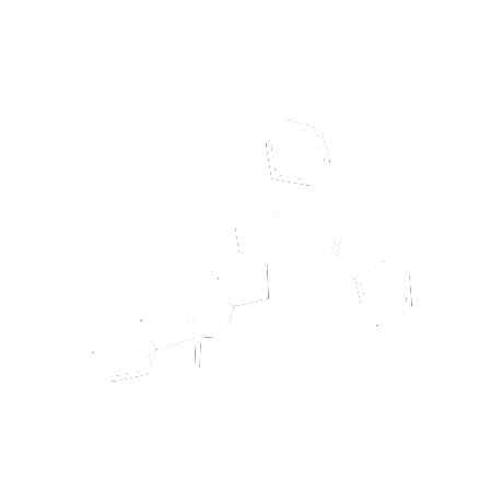 O=S(=O)(OC1CC(OS(=O)(=O)c2ccccc2)C(OS(=O)(=O)c2ccccc2)C1)c1ccccc1